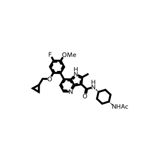 COc1cc(-c2ccnc3c(C(=O)N[C@H]4CC[C@@H](NC(C)=O)CC4)c(C)[nH]c23)c(OCC2CC2)cc1F